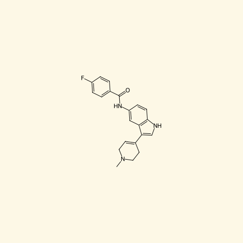 CN1CC=C(c2c[nH]c3ccc(NC(=O)c4ccc(F)cc4)cc23)CC1